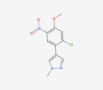 COc1cc(Cl)c(-c2cnn(C)c2)cc1[N+](=O)[O-]